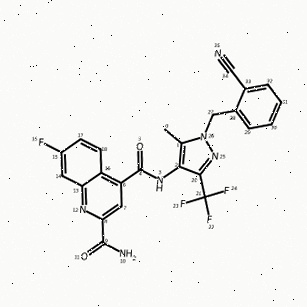 Cc1c(NC(=O)c2cc(C(N)=O)nc3cc(F)ccc23)c(C(F)(F)F)nn1Cc1ccccc1C#N